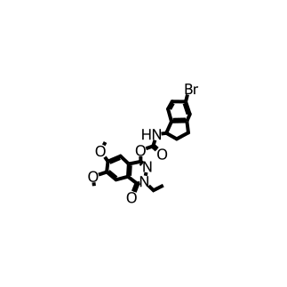 CCn1nc(OC(=O)NC2CCc3cc(Br)ccc32)c2cc(OC)c(OC)cc2c1=O